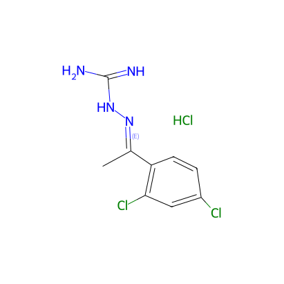 C/C(=N\NC(=N)N)c1ccc(Cl)cc1Cl.Cl